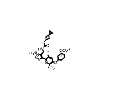 Cc1nc(-c2nnn(C)c2CNC(=O)OC2CC3(CC3)C2)c(F)cc1O[C@H]1CCC[C@H](C(=O)O)C1